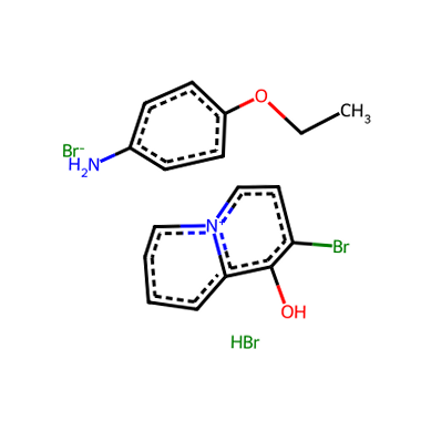 Br.CCOc1ccc(N)cc1.Oc1c(Br)cc[n+]2ccccc12.[Br-]